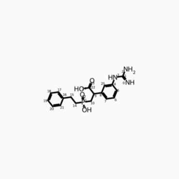 N=C(N)Nc1cccc(C(CP(=O)(O)CCc2ccccc2)C(=O)O)c1